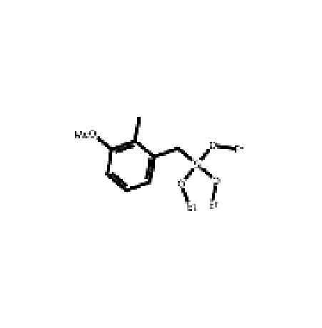 CCO[Si](Cc1cccc(OC)c1C)(OCC)OCC